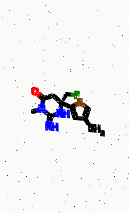 Bc1csc([C@]2(CF)CC(=O)N(C)C(=N)N2)c1